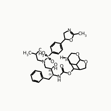 CC1=NCC(c2ccc(S(=O)(=O)N(CC(C)C)C[C@@H](O)[C@H](Cc3ccccc3)NC(=O)OC3C4COC5OC[C@H]3CC54)cc2)O1